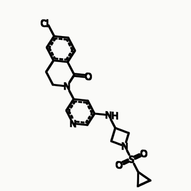 O=C1c2ccc(Cl)cc2CCN1c1cncc(NC2CN(S(=O)(=O)C3CC3)C2)c1